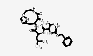 CC(C)CC(NC(=O)C(NC(=O)OCc1ccccc1)C(C)C)C(=O)NC1Cc2ncn(n2)CCNC(=O)C1=O